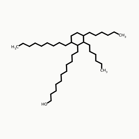 CCCCCCCCCC1CCC(CCCCCC)C(CCCCCC)C1CCCCCCCCCCCO